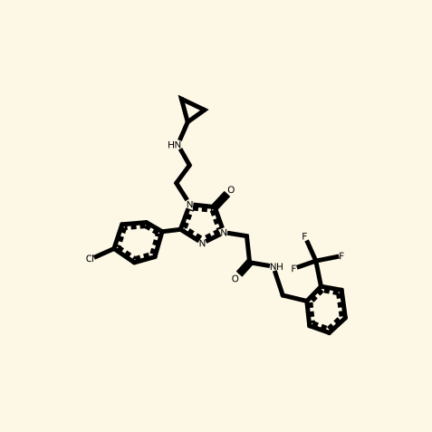 O=C(Cn1nc(-c2ccc(Cl)cc2)n(CCNC2CC2)c1=O)NCc1ccccc1C(F)(F)F